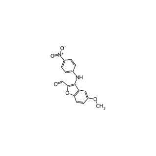 COc1ccc2oc(C=O)c(Nc3ccc([N+](=O)[O-])cc3)c2c1